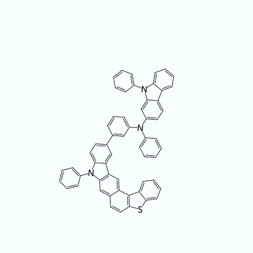 c1ccc(N(c2cccc(-c3ccc4c(c3)c3cc5c(ccc6sc7ccccc7c65)cc3n4-c3ccccc3)c2)c2ccc3c4ccccc4n(-c4ccccc4)c3c2)cc1